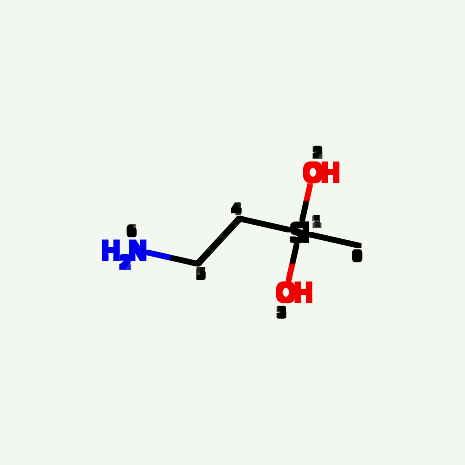 C[Si](O)(O)CCN